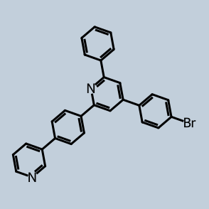 Brc1ccc(-c2cc(-c3ccccc3)nc(-c3ccc(-c4cccnc4)cc3)c2)cc1